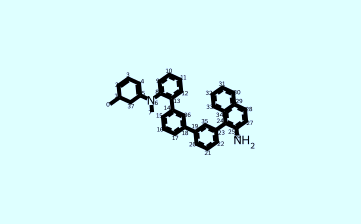 CC1C=CC=C(N(C)c2ccccc2-c2cccc(-c3cccc(-c4c(N)ccc5ccccc45)c3)c2)C1